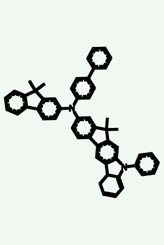 CC1(C)c2ccccc2-c2ccc(N(c3ccc(-c4ccccc4)cc3)c3ccc4c(c3)C(C)(C)c3cc5c(cc3-4)C3CC=CC=C3N5c3ccccc3)cc21